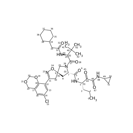 CCC[C@H](NC(=O)[C@@H]1C[C@]2(CC(c3cc(Cl)cc4c3OCOC4)=NO2)CN1C(=O)[C@@H](NC(=O)CC1CCCCC1)C(C)(C)C)C(=O)C(=O)NC1CC1